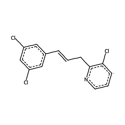 Clc1cc(Cl)cc(C=CCc2ncc[c]c2Cl)c1